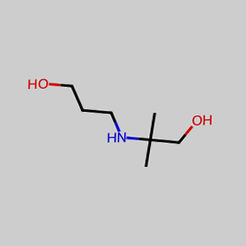 CC(C)(CO)NCCCO